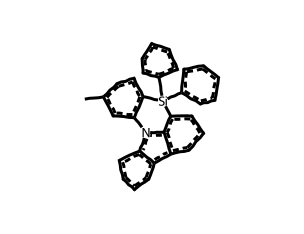 Cc1ccc2c(c1)-n1c3ccccc3c3cccc(c31)[Si]2(c1ccccc1)c1ccccc1